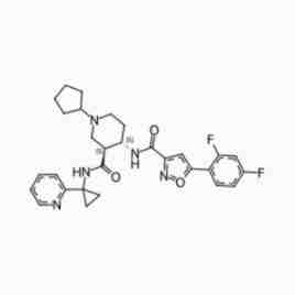 O=C(N[C@H]1CCN(C2CCCC2)C[C@@H]1C(=O)NC1(c2ccccn2)CC1)c1cc(-c2ccc(F)cc2F)on1